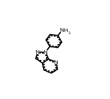 Nc1ccc(-n2ncc3cccnc32)cc1